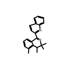 Cc1cccc2c1C(C)C(C)(C)N=C2c1ccc2ccccc2n1